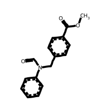 COC(=O)c1ccc(CN(C=O)c2ccccc2)cc1